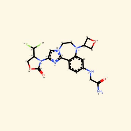 NC(=O)CNc1ccc2c(c1)N(C1COC1)CCn1cc(N3C(=O)OCC3C(F)F)nc1-2